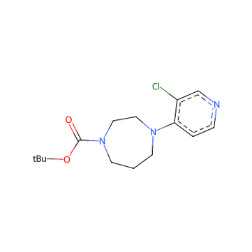 CC(C)(C)OC(=O)N1CCCN(c2ccncc2Cl)CC1